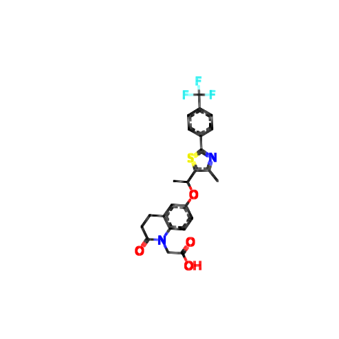 Cc1nc(-c2ccc(C(F)(F)F)cc2)sc1C(C)Oc1ccc2c(c1)CCC(=O)N2CC(=O)O